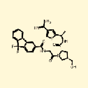 C[C@@H](NC(=O)[C@@H]1C[C@@H](CO)CN1C(=O)CNC(=O)c1ccc2c(c1)-c1ccccc1C2(F)F)c1cc(C(=N)N)cs1